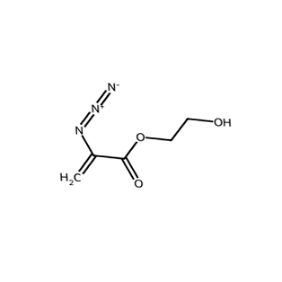 C=C(N=[N+]=[N-])C(=O)OCCO